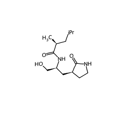 CC(C)C[C@H](C)C(=O)N[C@H](CO)C[C@@H]1CCNC1=O